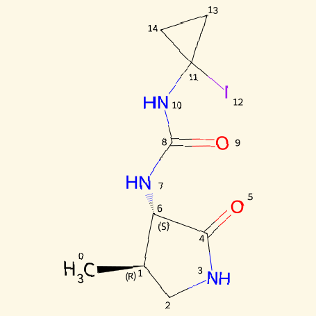 C[C@@H]1CNC(=O)[C@H]1NC(=O)NC1(I)CC1